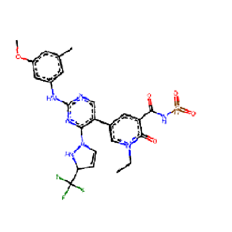 CCn1cc(-c2cnc(Nc3cc(C)cc(OC)c3)nc2N2C=CC(C(F)(F)F)N2)cc(C(=O)N[SH](=O)=O)c1=O